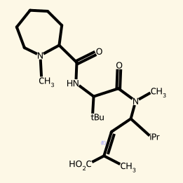 C/C(=C\C(C(C)C)N(C)C(=O)C(NC(=O)C1CCCCCN1C)C(C)(C)C)C(=O)O